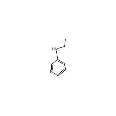 CCNc1cc[c]nc1